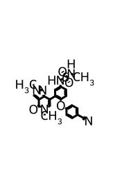 CNS(=O)(=O)Nc1ccc(Oc2ccc(C#N)cc2)c(-c2cn(C)c(=O)c3cn(C)nc23)c1